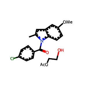 CC(=O)OCCO.COc1ccc2c(c1)cc(C)n2C(=O)c1ccc(Cl)cc1